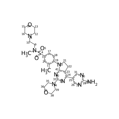 Cc1cc(S(=O)(=O)N(C)CCN2CCOCC2)ccc1N1CCc2c(-c3cnc(N)nc3)nc(N3CCOCC3)nc21